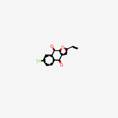 C=Cc1cc2c(o1)C(=O)c1cc(F)ccc1C2=O